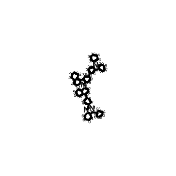 C1=Cc2c(nc(-c3ccc(-c4ccc(N5c6ccc(-c7ccc8c(c7)c7ccccc7n8-c7ccccc7)cc6C6=c7ccccc7=CCC65)c5ccccc45)cc3)nc2-c2ccccc2)CC1